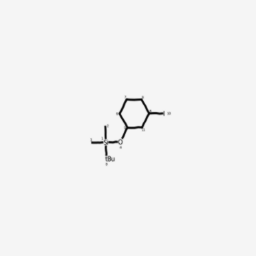 CC(C)(C)[Si](C)(C)OC1CCCC(I)C1